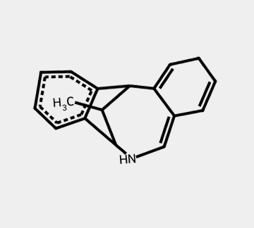 CC1C2NC=C3C=CCC=C3C1c1ccccc12